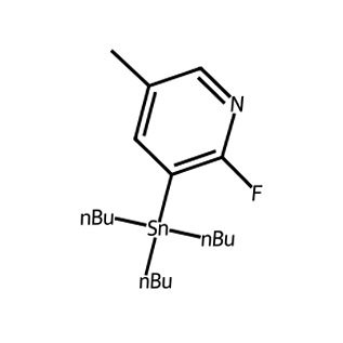 CCC[CH2][Sn]([CH2]CCC)([CH2]CCC)[c]1cc(C)cnc1F